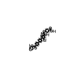 O=C(NC1CCOCC1)c1ccc(-c2ccc(-c3nc4nc(O[C@H]5CC[C@H](C(=O)O)CC5)[nH]c4cc3Cl)cc2)cc1